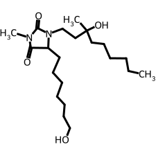 CCCCCCC(C)(O)CCN1C(=O)N(C)C(=O)C1CCCCCCCO